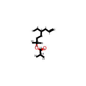 C=CCC(CC)CCC(C)(C)OC(=O)C(C)C